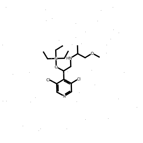 CC[Si](CC)(CC)OC(CNC(C)COC)c1c(Cl)cncc1Cl